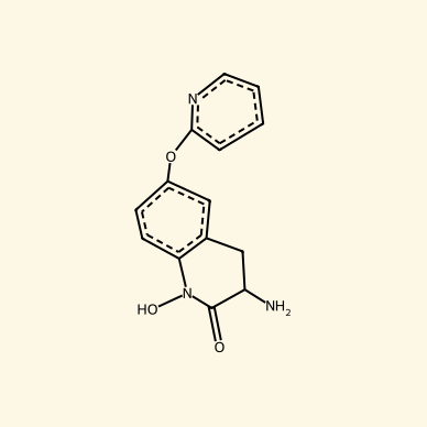 NC1Cc2cc(Oc3ccccn3)ccc2N(O)C1=O